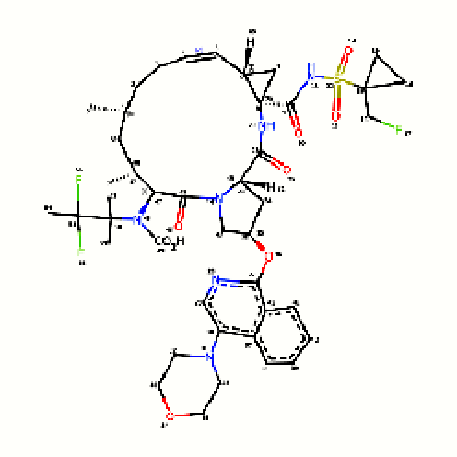 C[C@@H]1CC/C=C\[C@@H]2C[C@@]2(C(=O)NS(=O)(=O)C2(CF)CC2)NC(=O)[C@@H]2C[C@@H](Oc3ncc(N4CCOCC4)c4ccccc34)CN2C(=O)[C@@H](N(C(=O)O)C(C)(C)C(C)(F)F)[C@H](C)C1